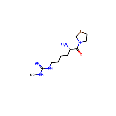 N#CNC(=N)NCCCC[C@H](N)C(=O)N1CCSC1